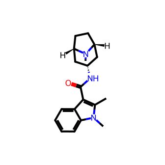 Cc1c(C(=O)N[C@H]2C[C@H]3CC[C@@H](C2)N3C)c2ccccc2n1C